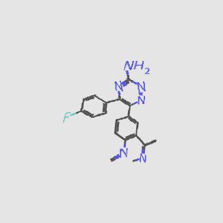 C=Nc1ccc(-c2nnc(N)nc2-c2ccc(F)cc2)cc1/C(C)=N\C